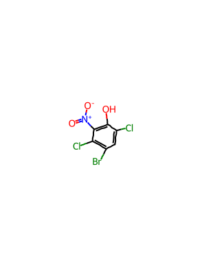 O=[N+]([O-])c1c(O)c(Cl)cc(Br)c1Cl